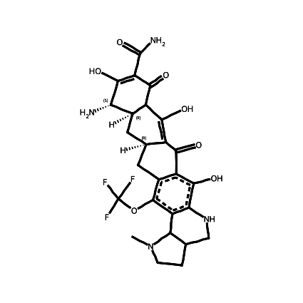 CN1CCC2CNc3c(O)c4c(c(OC(F)(F)F)c3C21)C[C@H]1C[C@@H]2C(C(=O)C(C(N)=O)=C(O)[C@H]2N)C(O)=C1C4=O